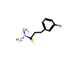 CN(C)C(=S)CCc1cccc(Br)c1